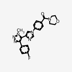 Cn1nnc(-c2ccc(F)cc2)c1-c1cn(-c2ccc(C(=O)N3CCOCC3)cc2)cn1